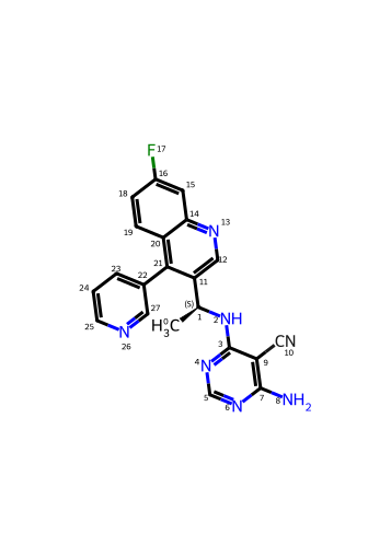 C[C@H](Nc1ncnc(N)c1C#N)c1cnc2cc(F)ccc2c1-c1cccnc1